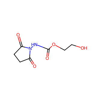 O=C(NN1C(=O)CCC1=O)OCCO